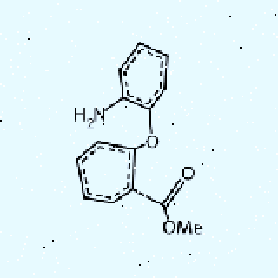 COC(=O)c1ccccc1Oc1ccccc1N